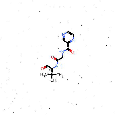 CC(C)(C)[C@@H](C=O)NC(=O)CNC(=O)c1cnccn1